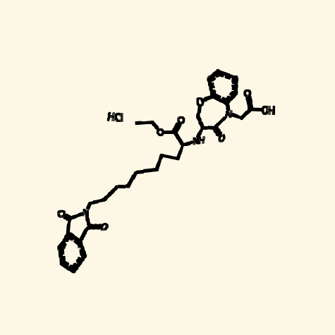 CCOC(=O)[C@H](CCCCCCCCN1C(=O)c2ccccc2C1=O)N[C@H]1COc2ccccc2N(CC(=O)O)C1=O.Cl